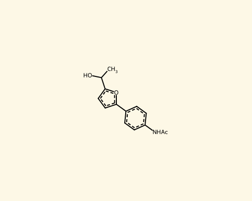 CC(=O)Nc1ccc(-c2ccc(C(C)O)o2)cc1